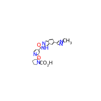 Cn1cc(-c2ccc3cnc(NC(=O)c4ccnc(OC5CCCCN5C(=O)O)c4)cc3c2)cn1